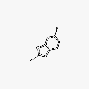 CCc1ccc2cc(C(C)C)oc2c1